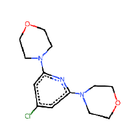 Clc1cc(N2CCOCC2)nc(N2CCOCC2)c1